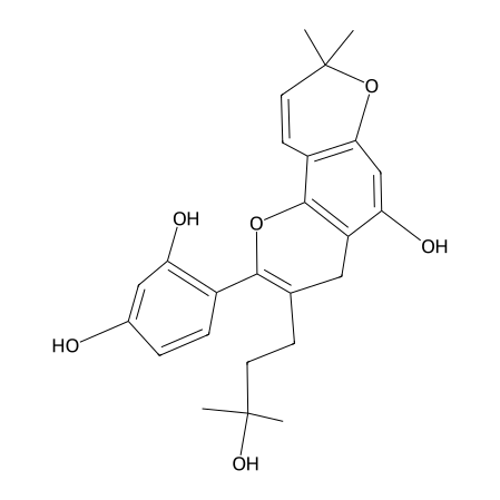 CC(C)(O)CCC1=C(c2ccc(O)cc2O)Oc2c3c(cc(O)c2C1)OC(C)(C)C=C3